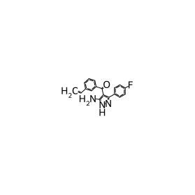 C=Cc1cccc(C(=O)c2c(-c3ccc(F)cc3)n[nH]c2N)c1